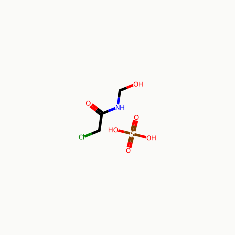 O=C(CCl)NCO.O=S(=O)(O)O